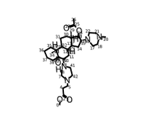 COC(=O)CCN1CCN([C@@H]2C[C@H]3[C@@H]4C[C@H](N5CCN(C)CC5)[C@H](OC(C)=O)[C@@]4(C)CC[C@@H]3[C@@]3(C)CCCC[C@]23O)CC1